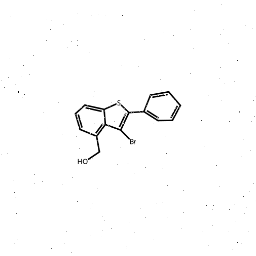 OCc1cccc2sc(-c3ccccc3)c(Br)c12